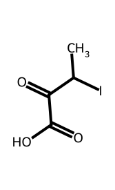 CC(I)C(=O)C(=O)O